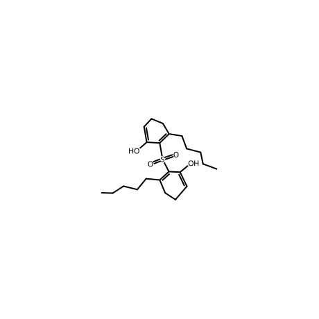 CCCCCC1=C(S(=O)(=O)C2=C(CCCCC)CCC=C2O)C(O)=CCC1